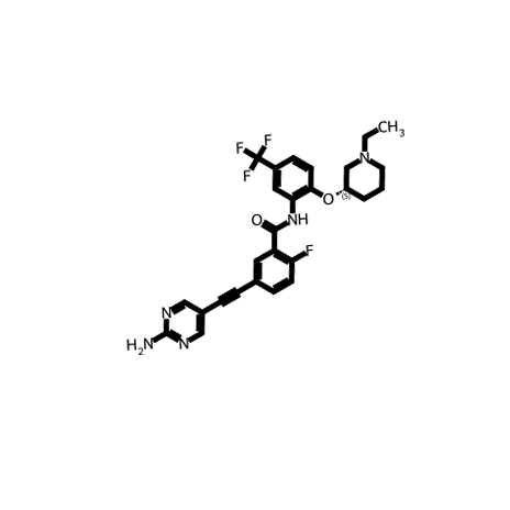 CCN1CCC[C@H](Oc2ccc(C(F)(F)F)cc2NC(=O)c2cc(C#Cc3cnc(N)nc3)ccc2F)C1